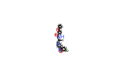 C=C1[C@H](CNC(=O)c2cccc(Oc3ccccc3)c2)[C@H]1CN1CCC(c2noc3cc(F)ccc23)CC1